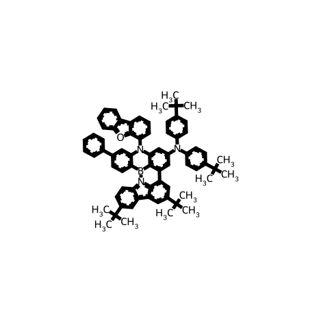 CC(C)(C)c1ccc(N(c2ccc(C(C)(C)C)cc2)c2cc3c4c(c2)N(c2cccc5c2oc2ccccc25)c2cc(-c5ccccc5)ccc2B4n2c4ccc(C(C)(C)C)cc4c4cc(C(C)(C)C)cc-3c42)cc1